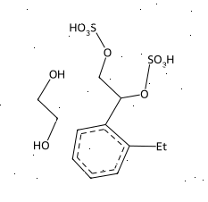 CCc1ccccc1C(COS(=O)(=O)O)OS(=O)(=O)O.OCCO